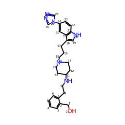 OCc1ccccc1CCNC1CCN(CCCc2c[nH]c3ccc(-n4cnnc4)cc23)CC1